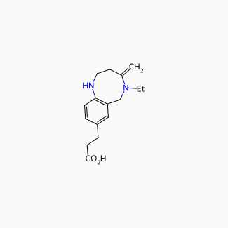 C=C1CCNc2ccc(CCC(=O)O)cc2CN1CC